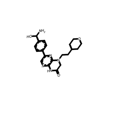 NC(O)c1ccc(-c2cnc3c(n2)N(CCC2CCOCC2)CC(=O)N3)cc1